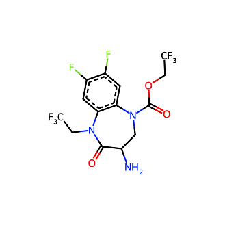 NC1CN(C(=O)OCC(F)(F)F)c2cc(F)c(F)cc2N(CC(F)(F)F)C1=O